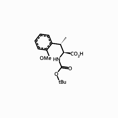 COc1ccccc1[C@H](C)[C@H](NC(=O)OC(C)(C)C)C(=O)O